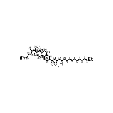 CC/C=C/C/C=C/C/C=C/CCCCCCC(C(=O)O)[C@H]1CC[C@@]2(C)C(=CC[C@H]3[C@@H]4CC[C@H]([C@H](C)CCCC(C)C)[C@@]4(C)CC[C@@H]32)C1